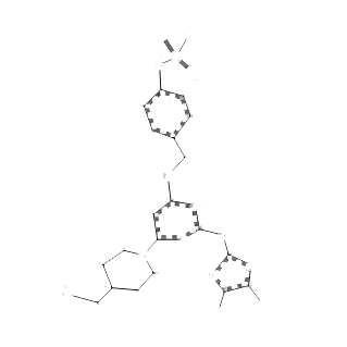 CCOC(=O)c1sc(Nc2nc(NCc3ccc(NS(=O)(=O)CC)cc3)cc(N3CCC(CO)CC3)n2)nc1C